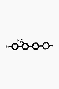 CCc1ccc(-c2ccc(-c3ccc(C4CCC(I)CC4)cc3)cc2C)cc1